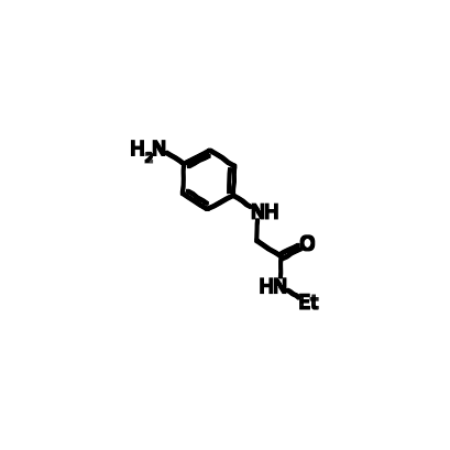 CCNC(=O)CNc1ccc(N)cc1